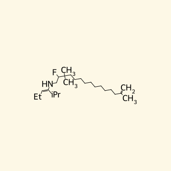 C=C(C)CCCCCCCCCCC(C)(C)C(F)CN/C(=C/CC)C(C)C